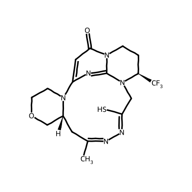 C/C1=N/N=C(\S)CN2c3nc(cc(=O)n3CC[C@H]2C(F)(F)F)N2CCOC[C@H]2C1